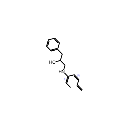 C=C/C=C\C(=C/C)NCC(O)Cc1ccccc1